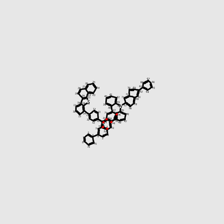 c1ccc(-c2cccc(N(c3ccc(-c4cccc5c4sc4c6ccccc6ccc54)cc3)c3cccc(-c4ccccc4N(c4cccc(-c5ccccc5)c4)c4ccc5cc(-c6ccccc6)ccc5c4)c3)c2)cc1